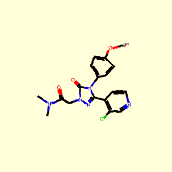 CC(C)Oc1ccc(-n2c(-c3ccncc3Cl)nn(CC(=O)N(C)C)c2=O)cc1